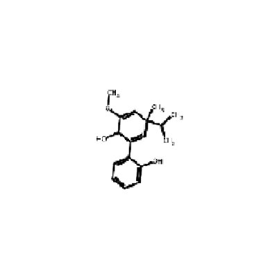 COC1=CC(C)(C(C)C)C=C(c2ccccc2O)C1O